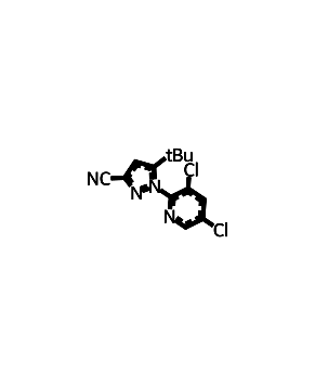 CC(C)(C)c1cc(C#N)nn1-c1ncc(Cl)cc1Cl